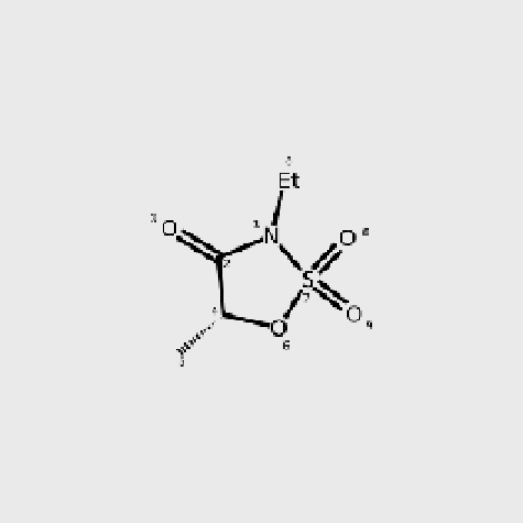 CCN1C(=O)[C@@H](C)OS1(=O)=O